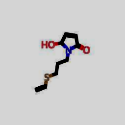 C=CSCCCN1C(=O)C=CC1O